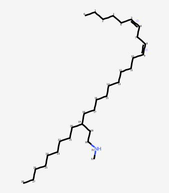 CCCCC/C=C\C/C=C\CCCCCCCCCC(CCCCCCCCC)CCNC